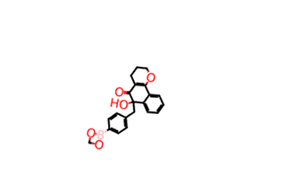 O=C1C2=C(OCCC2)c2ccccc2C1(O)Cc1ccc(B2OCO2)cc1